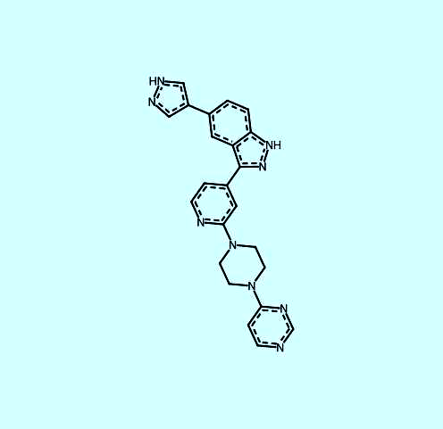 c1cc(N2CCN(c3cc(-c4n[nH]c5ccc(-c6cn[nH]c6)cc45)ccn3)CC2)ncn1